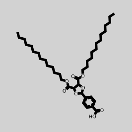 CCCCCCCCCCCCCCOC(=O)C1OC(c2ccc(C(=O)O)cc2)OC1C(=O)OCCCCCCCCCCCCCC